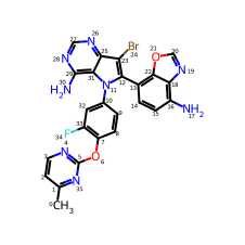 Cc1ccnc(Oc2ccc(-n3c(-c4ccc(N)c5ncoc45)c(Br)c4ncnc(N)c43)cc2F)n1